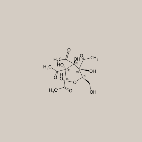 CC(=O)[C@@]1(O)[C@](O)(C(C)=O)[C@](O)(C(C)=O)[C@@H](CO)O[C@@]1(O)C(C)=O